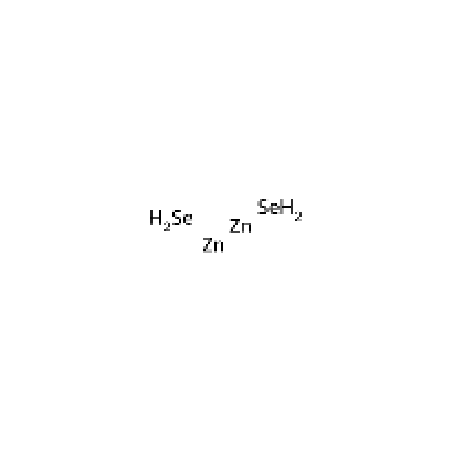 [SeH2].[SeH2].[Zn].[Zn]